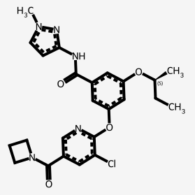 CC[C@H](C)Oc1cc(Oc2ncc(C(=O)N3CCC3)cc2Cl)cc(C(=O)Nc2ccn(C)n2)c1